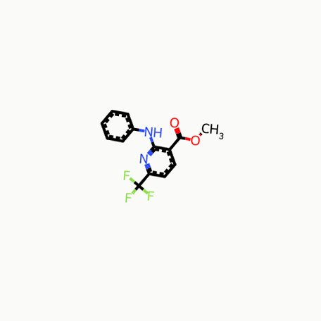 COC(=O)c1ccc(C(F)(F)F)nc1Nc1ccccc1